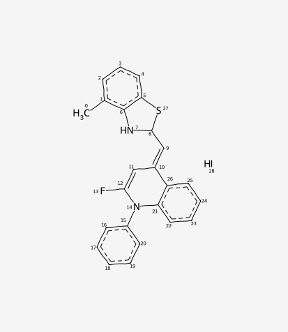 Cc1cccc2c1NC(C=C1C=C(F)N(c3ccccc3)c3ccccc31)S2.I